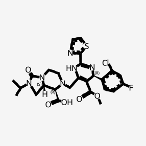 COC(=O)C1=C(CN2CCN3C(=O)N(C(C)C)C[C@H]3[C@@H]2C(=O)O)NC(c2nccs2)=N[C@H]1c1ccc(F)cc1Cl